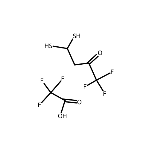 O=C(CC(S)S)C(F)(F)F.O=C(O)C(F)(F)F